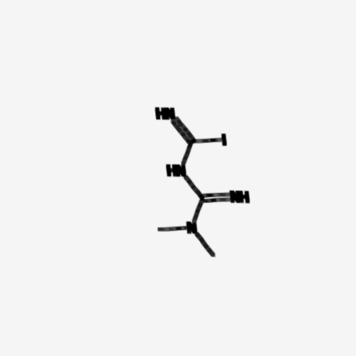 CN(C)C(=N)NC(=N)I